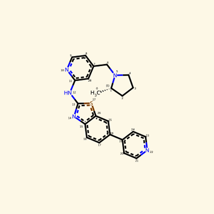 C[C@H]1CCCN1Cc1ccnc(Nc2nc3ccc(-c4ccncc4)cc3s2)c1